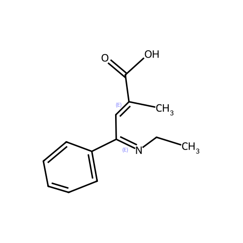 CC/N=C(\C=C(/C)C(=O)O)c1ccccc1